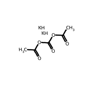 CC(=O)OC(=O)OC(C)=O.[KH].[KH]